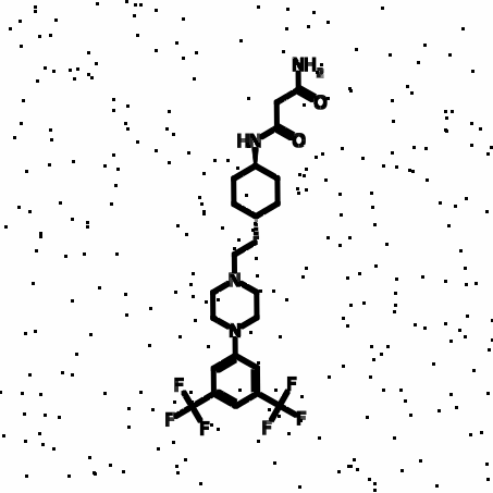 NC(=O)CC(=O)N[C@H]1CC[C@H](CCN2CCN(c3cc(C(F)(F)F)cc(C(F)(F)F)c3)CC2)CC1